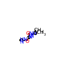 Cc1ccc(-c2nn3cc(C(=O)NCc4ccccn4)cc3c(=O)[nH]2)cc1C